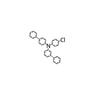 Clc1ccc(N(c2ccc(-c3ccccc3)cc2)c2cccc(-c3ccccc3)c2)cc1